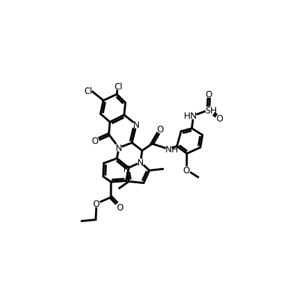 CCOC(=O)c1ccc(-n2c(C(C(=O)Nc3cc(N[SH](=O)=O)ccc3OC)n3nc(C)cc3C)nc3cc(Cl)c(Cl)cc3c2=O)cc1